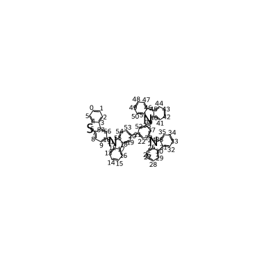 c1ccc2c(c1)sc1ccc(-n3c4ccccc4c4cc(-c5cc(-n6c7ccccc7c7ccccc76)cc(-n6c7ccccc7c7ccccc76)c5)ccc43)cc12